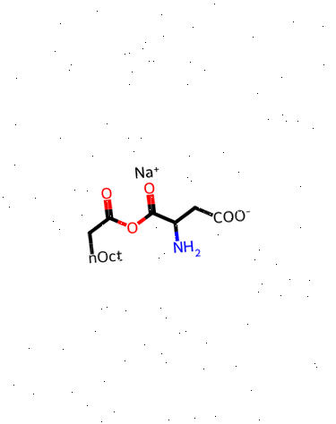 CCCCCCCCCC(=O)OC(=O)C(N)CC(=O)[O-].[Na+]